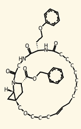 O=C1CCCCCCCC/C=C/CCCOC[C@@]23C[C@@H]2N(C(=O)CNC(=O)[C@H](CCOc2ccccc2)N1)[C@H](C(=O)OCc1ccccc1)C3